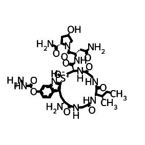 CC[C@H](C)[C@@H]1NC(=O)CNC(=O)[C@H](N)Cc2c([nH]c3cc(OC(=O)NN)ccc23)[S+]([O-])C[C@@H](C(=O)N[C@@H](CC(N)=O)C(=O)N2C[C@H](O)C[C@H]2C(N)=O)NC(=O)CNC1=O